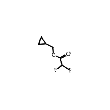 O=C(OCC1CC1)C(F)F